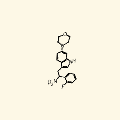 O=[N+]([O-])C(Cc1c[nH]c2cc(N3CCOCC3)ccc12)c1ccccc1F